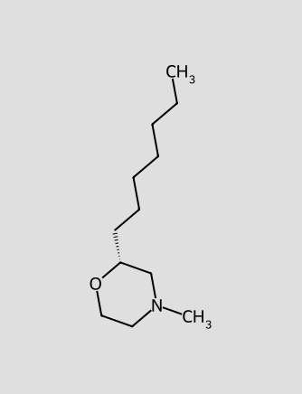 CCCCCCC[C@@H]1CN(C)CCO1